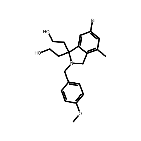 COc1ccc(CN2Cc3c(C)cc(Br)cc3C2(CCO)CCO)cc1